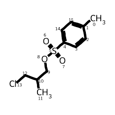 Cc1ccc(S(=O)(=O)OCC(C)CCl)cc1